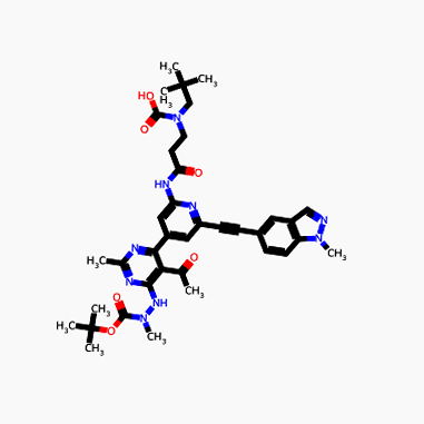 CC(=O)c1c(NN(C)C(=O)OC(C)(C)C)nc(C)nc1-c1cc(C#Cc2ccc3c(cnn3C)c2)nc(NC(=O)CCN(CC(C)(C)C)C(=O)O)c1